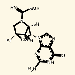 CC[C@@]12CN(C(=N)SC)[C@@H]([C@H](n3cnc4c(=O)[nH]c(N)nc43)O1)[C@@H]2O